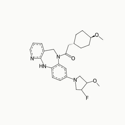 COC1CN(c2ccc3c(c2)N(C(=O)C[C@H]2CC[C@H](OC)CC2)Cc2cccnc2N3)CC1F